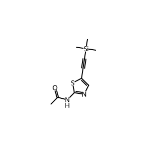 CC(=O)Nc1ncc(C#C[Si](C)(C)C)s1